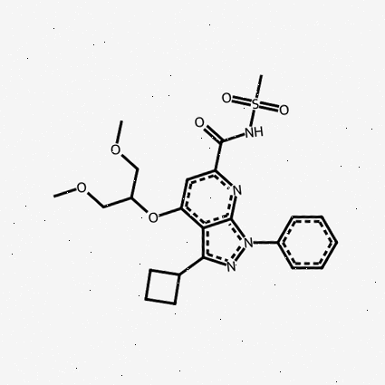 COCC(COC)Oc1cc(C(=O)NS(C)(=O)=O)nc2c1c(C1CCC1)nn2-c1ccccc1